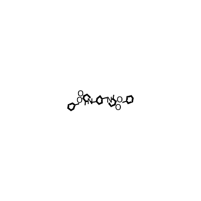 Cc1c(OCc2ccccc2)c(=O)ccn1Cc1ccc(Cn2ccc(=O)c(OCc3ccccc3)c2C)cc1